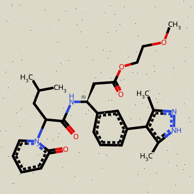 COCCOC(=O)C[C@H](NC(=O)C(CC(C)C)n1ccccc1=O)c1cccc(-c2c(C)n[nH]c2C)c1